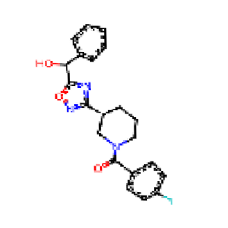 O=C(c1ccc(F)cc1)N1CCC[C@H](c2noc(C(O)c3ccccc3)n2)C1